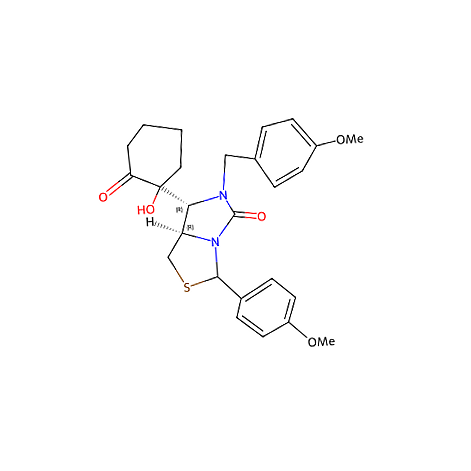 COc1ccc(CN2C(=O)N3C(c4ccc(OC)cc4)SC[C@H]3[C@@H]2C2(O)CCCCC2=O)cc1